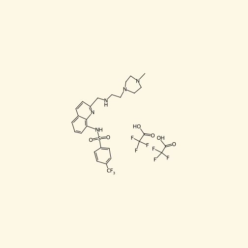 CN1CCN(CCNCc2ccc3cccc(NS(=O)(=O)c4ccc(C(F)(F)F)cc4)c3n2)CC1.O=C(O)C(F)(F)F.O=C(O)C(F)(F)F